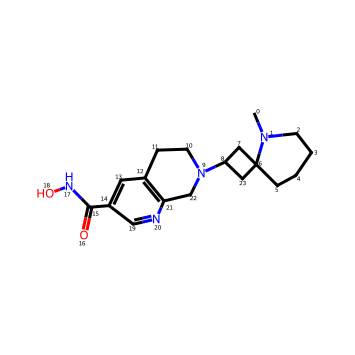 CN1CCCCC12CC(N1CCc3cc(C(=O)NO)cnc3C1)C2